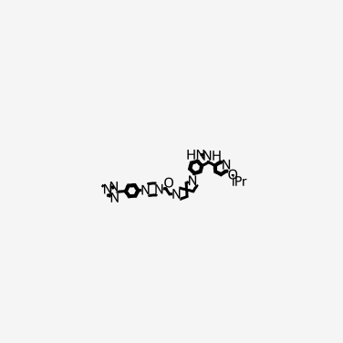 CC(C)Oc1ccc(C2NNc3ccc(N4CCC5(CCN(CC(=O)N6CCN(c7ccc(-c8ncn(C)n8)cc7)CC6)C5)C4)cc32)cn1